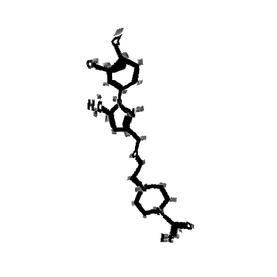 CCC(=O)N1CCN(CCOCc2cc(C)n(-c3ccc(Cl)c(Cl)c3)n2)CC1